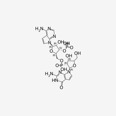 Nc1nc2c(ccn2[C@@H]2OC(CO)[C@@H](O)[C@H]2P(=O)(O)OC[C@H]2O[C@@H](n3ccc4c(N)ncnc43)[C@H](O)[C@@H]2O[PH](=O)O)c(=O)[nH]1